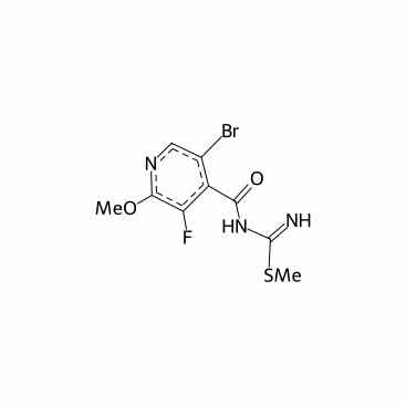 COc1ncc(Br)c(C(=O)NC(=N)SC)c1F